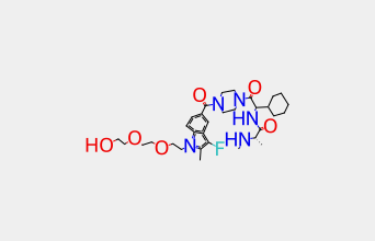 CN[C@@H](C)C(=O)NC(C(=O)N1CCN(C(=O)c2ccc3c(c2)c(F)c(C)n3CCOCCOCCO)CC1)C1CCCCC1